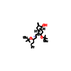 C=C1C[C@@H]2[C@H](/C=C/C(CCC(C)C)O[Si](C)(C)C(C)(C)C)[C@H](O[Si](C)(C)C(C)(C)C)C[C@@H]2[C@@H]1O